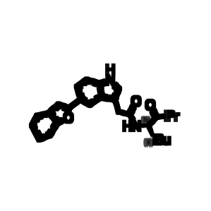 CC[C@H](C)[C@H](NC(=O)Cc1c[nH]c2ccc(-c3cc4ccccc4o3)cc12)C(=O)C(C)C